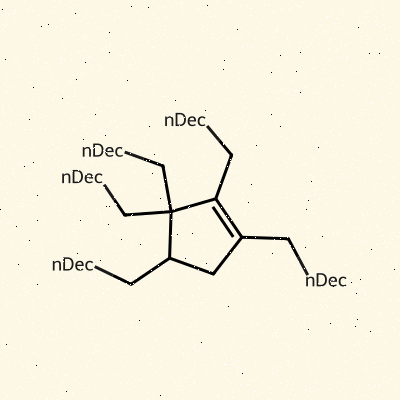 CCCCCCCCCCCC1=C(CCCCCCCCCCC)C(CCCCCCCCCCC)(CCCCCCCCCCC)C(CCCCCCCCCCC)C1